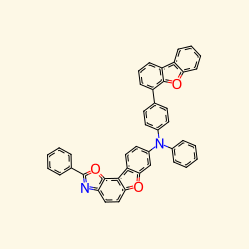 c1ccc(-c2nc3ccc4oc5cc(N(c6ccccc6)c6ccc(-c7cccc8c7oc7ccccc78)cc6)ccc5c4c3o2)cc1